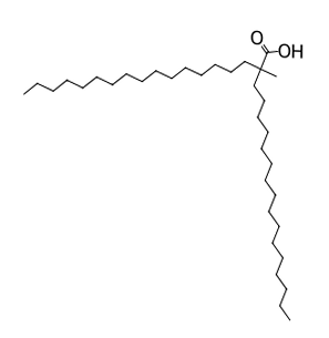 CCCCCCCCCCCCCCCCC(C)(CCCCCCCCCCCCCCCC)C(=O)O